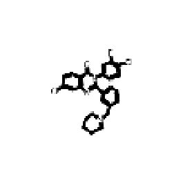 O=c1c2ccc(Cl)cc2nc(-c2cc(CN3CCCCC3)ccc2Cl)n1-c1ccc(Cl)c(F)c1